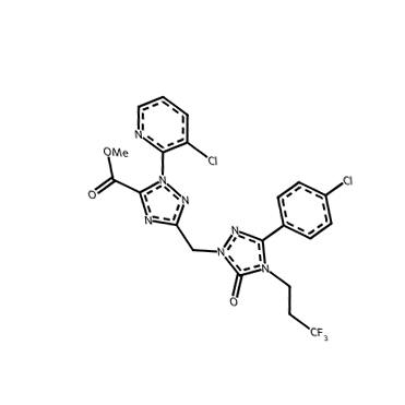 COC(=O)c1nc(Cn2nc(-c3ccc(Cl)cc3)n(CCC(F)(F)F)c2=O)nn1-c1ncccc1Cl